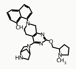 Cc1cccc2cccc(N3CCc4c(nc(OCC5CCCN5C)nc4N4CC5CC4CN5)C3)c12